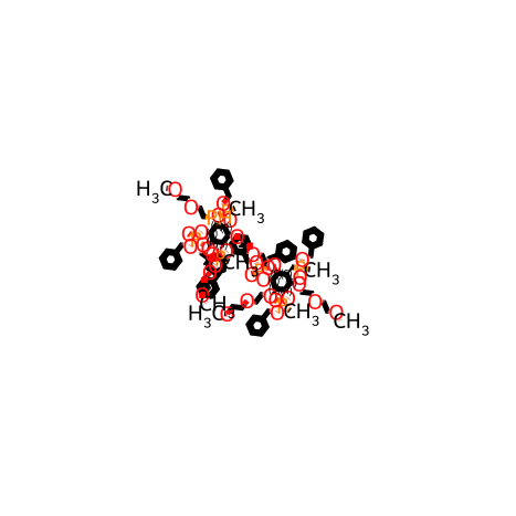 COCCOCCO[C@@H]1[C@@H](OP(=O)(OCc2ccccc2)OCc2ccccc2)[C@@H](OCCOCCOC2[C@@H](OP(C)(=O)OCc3ccccc3)[C@H](PCCOCCOC)[C@@H](OP(=O)(OCc3ccccc3)OCc3ccccc3)[C@H](OCCOCCOC)[C@H]2OP(C)(=O)OCc2ccccc2)[C@@H](CP(C)(=O)OCc2ccccc2)[C@H](OCCOCCOC)[C@H]1OP(C)(=O)OCc1ccccc1